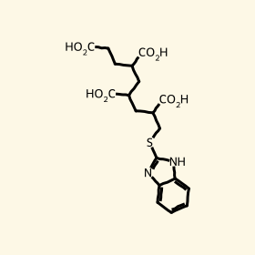 O=C(O)CCC(CC(CC(CSc1nc2ccccc2[nH]1)C(=O)O)C(=O)O)C(=O)O